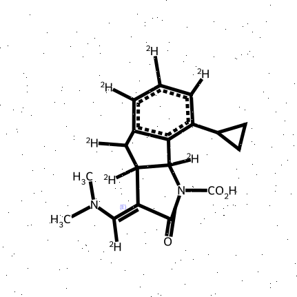 [2H]/C(=C1\C(=O)N(C(=O)O)C2([2H])c3c(C4CC4)c([2H])c([2H])c([2H])c3C([2H])C12[2H])N(C)C